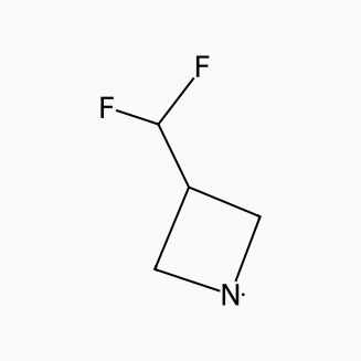 FC(F)C1C[N]C1